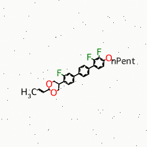 C/C=C/C1OCC(c2ccc(-c3ccc(-c4ccc(OCCCCC)c(F)c4F)cc3)cc2F)CO1